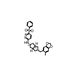 Cc1cc2c(cc1CN1C[C@H]3C[C@H](Nc4ccc(S(=O)(=O)c5ccccc5)nn4)C[C@H]3C1)OCO2